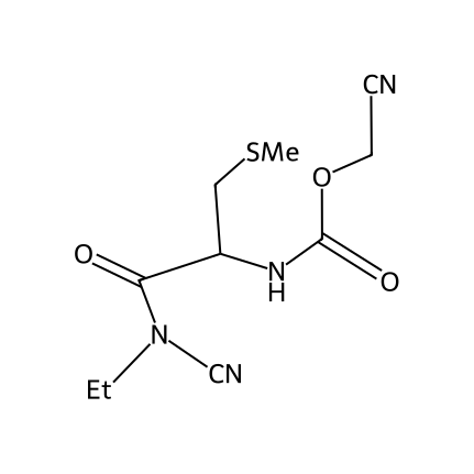 CCN(C#N)C(=O)C(CSC)NC(=O)OCC#N